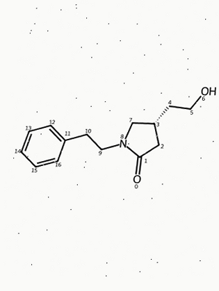 O=C1C[C@@H](CCO)CN1CCc1ccccc1